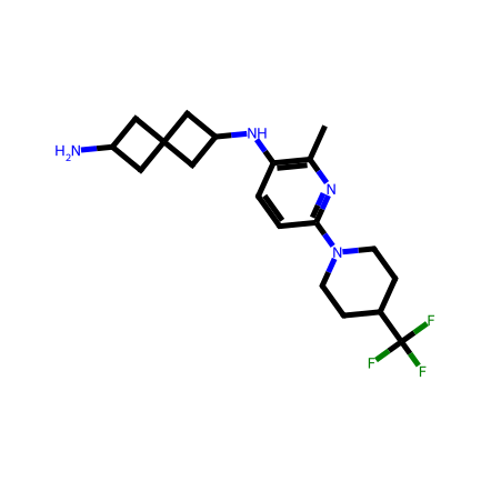 Cc1nc(N2CCC(C(F)(F)F)CC2)ccc1NC1CC2(CC(N)C2)C1